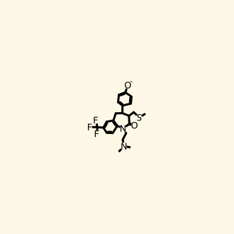 COc1ccc(C2Cc3cc(C(F)(F)F)ccc3N(CCN(C)C)C(=O)C2CSC)cc1